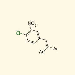 CC(=O)C(=Cc1ccc(Cl)c([N+](=O)[O-])c1)C(C)=O